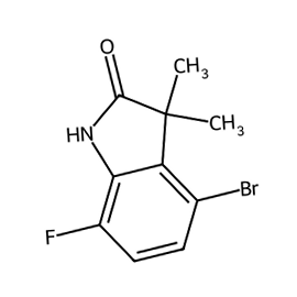 CC1(C)C(=O)Nc2c(F)ccc(Br)c21